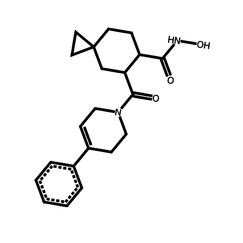 O=C(NO)C1CCC2(CC2)CC1C(=O)N1CC=C(c2ccccc2)CC1